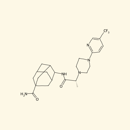 C[C@H](C(=O)NC1C2CC3CC1CC(C(N)=O)(C3)C2)N1CCN(c2ccc(C(F)(F)F)cn2)CC1